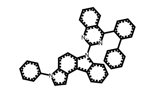 c1ccc(-c2ccccc2-c2nc(-n3c4ccccc4c4c5ccn(-c6ccccc6)c5ccc43)nc3ccccc23)cc1